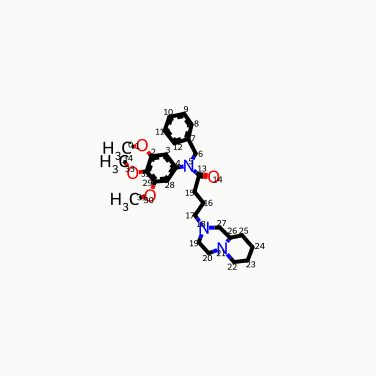 COc1cc(N(Cc2ccccc2)C(=O)CCCN2CCN3CCCCC3C2)cc(OC)c1OC